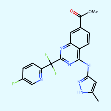 COC(=O)c1ccc2c(Nc3cc(C)[nH]n3)nc(C(F)(F)c3ccc(F)cn3)nc2c1